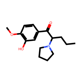 CCCC(C(=O)c1ccc(OC)c(O)c1)N1CCCC1